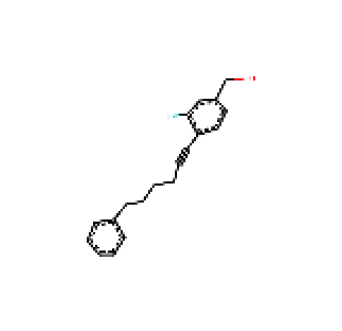 OCc1ccc(C#CCCCCc2ccccc2)c(F)c1